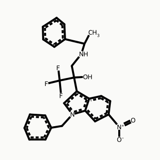 CC(NCC(O)(c1cn(Cc2ccccc2)c2cc([N+](=O)[O-])ccc12)C(F)(F)F)c1ccccc1